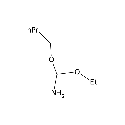 CCCCOC(N)OCC